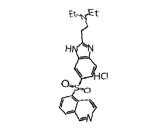 CCN(CC)CCc1nc2ccc(S(=O)(=O)c3cccc4cnccc34)cc2[nH]1.Cl